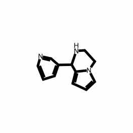 c1cncc(C2NCCn3cccc32)c1